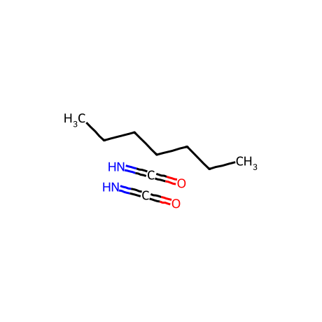 CCCCCCC.N=C=O.N=C=O